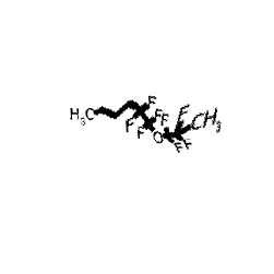 CCCCC(F)(F)C(F)(F)OC(F)(F)C(C)(F)F